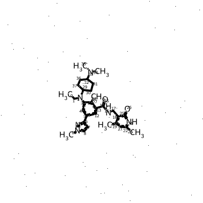 CCN(c1cc(-c2ccn(C)n2)cc(C(=O)NCc2c(C)cc(C)[nH]c2=O)c1C)C1CCC(N(C)C)CC1